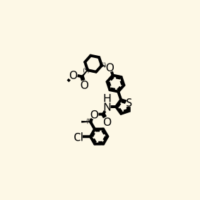 COC(=O)[C@H]1CCC[C@H](Oc2ccc(-c3sccc3NC(=O)O[C@H](C)c3ccccc3Cl)cc2)C1